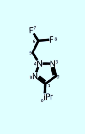 CC(C)c1cnn(CC(F)F)n1